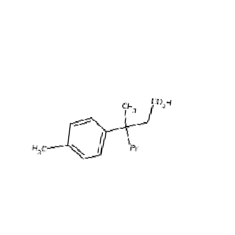 Cc1ccc(C(C)(CC(=O)O)C(C)C)cc1